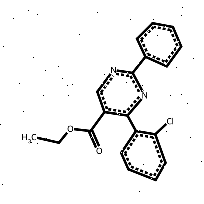 CCOC(=O)c1cnc(-c2ccccc2)nc1-c1ccccc1Cl